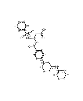 O=C(O)CC(NC(=O)c1ccc(N2CCCC(NC3=NCCCN3)C2)cc1)NS(=O)(=O)c1ccccc1